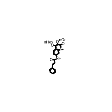 CCCCCCCCOc1c(OCCCCCC)c2ccc(NC(=O)C=Cc3ccccc3)cc2n(C)c1=O